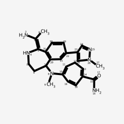 C/C(N)=C1/NCCC(N(C)C2=CCC=C(C(N)=O)C=C2)c2cc(-c3cnn(C)c3)ccc21